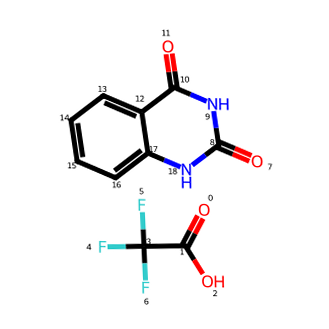 O=C(O)C(F)(F)F.O=c1[nH]c(=O)c2ccccc2[nH]1